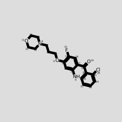 Nc1cc(OCCCN2CCOCC2)c(F)cc1C(=O)c1ccccc1Cl